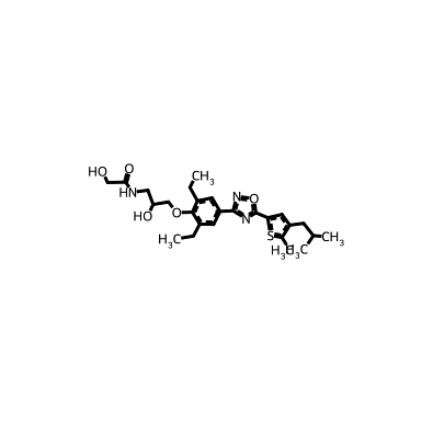 CCc1cc(-c2noc(-c3cc(CC(C)C)c(C)s3)n2)cc(CC)c1OCC(O)CNC(=O)CO